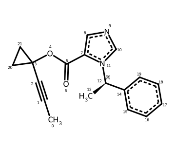 CC#CC1(OC(=O)c2cncn2[C@H](C)c2ccccc2)CC1